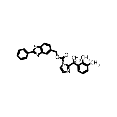 Cc1cccc([C@H](C)c2nccn2C(=O)OCc2ccc3sc(-c4ccccc4)nc3c2)c1C